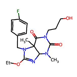 CCOC1=NC2N(C)C(=O)N(CCCO)C(=O)C2(C)N1Cc1ccc(F)cc1